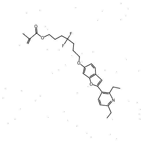 C=C(C)C(=O)OCCCC(F)(F)CCCOc1ccc2cc(-c3ccc(CC)nc3CC)oc2c1